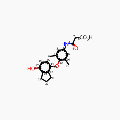 Cc1cc(NC(=O)CC(=O)O)cc(C)c1Oc1ccc(O)c2c1CCC2